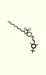 CCCCCCCCCC1=NC2(CCN(O/C=C/c3c(C)cc(C(C)(C)C)cc3C)CC2)C(=O)N1C